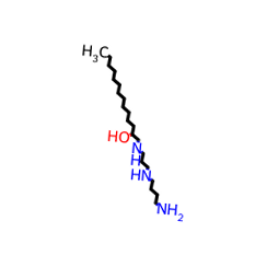 CCCCCCCCCCCCC(O)CNCCCNCCCCN